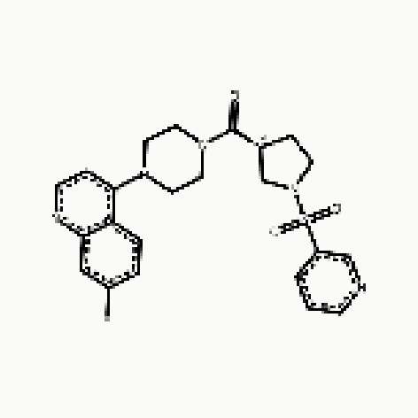 O=C([C@H]1CCN(S(=O)(=O)c2cccnc2)C1)N1CCN(c2ccnc3cc(F)ccc23)CC1